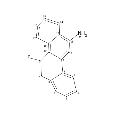 CC1Cc2ccccc2-c2cc(N)c3ccccc3c21